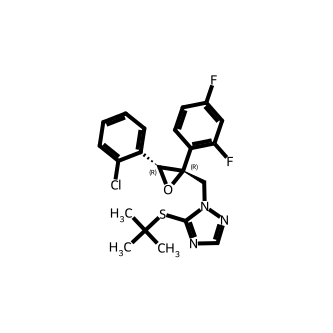 CC(C)(C)Sc1ncnn1C[C@@]1(c2ccc(F)cc2F)O[C@@H]1c1ccccc1Cl